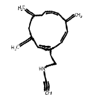 C#CNCC1=C/C(=C)CC(=C)/C=C\C(=C)/C=C\1